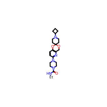 CCNC(=O)N1CCN(c2ccc3c(n2)COC2(CCN(C4CCC4)CC2)O3)CC1